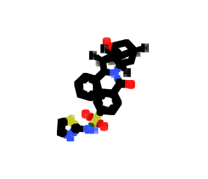 O=C1[C@@H]2CC[C@@H]3[C@H]1C(c1ccccc1)N(C(=O)c1ccc(S(=O)(=O)Nc4nccs4)cc1)[C@H]3C2